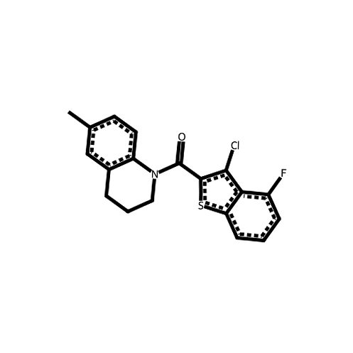 Cc1ccc2c(c1)CCCN2C(=O)c1sc2cccc(F)c2c1Cl